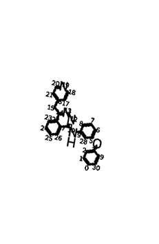 c1ccc(Oc2cccc(Nc3nnc(Cc4ccncc4)c4ccccc34)c2)cc1